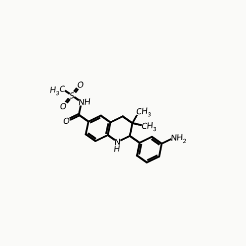 CC1(C)Cc2cc(C(=O)NS(C)(=O)=O)ccc2NC1c1cccc(N)c1